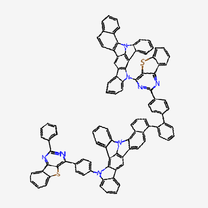 c1ccc(-c2nc(-c3ccc(-n4c5ccccc5c5cc6c7ccc8c(-c9ccccc9-c9ccc(-c%10nc(-n%11c%12ccccc%12c%12cc%13c%14ccc%15ccccc%15c%14n%14c%15ccccc%15c(c%12%11)c%13%14)c%11sc%12ccccc%12c%11n%10)cc9)cccc8c7n7c8ccccc8c(c54)c67)cc3)c3sc4ccccc4c3n2)cc1